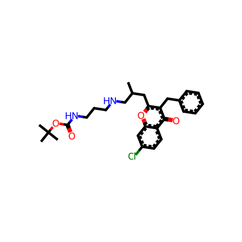 CC(CNCCCNC(=O)OC(C)(C)C)Cc1oc2cc(Cl)ccc2c(=O)c1Cc1ccccc1